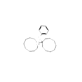 c1ccc(SC2(N3CCCCCCCC3)CCCCCCCC2)cc1